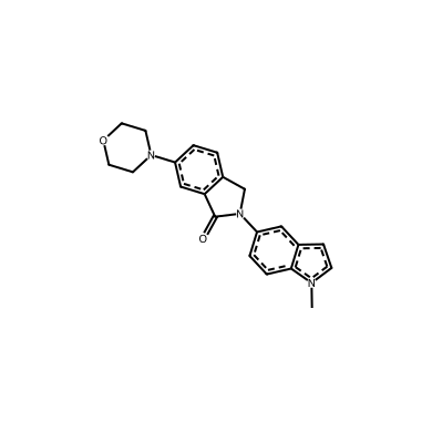 Cn1ccc2cc(N3Cc4ccc(N5CCOCC5)cc4C3=O)ccc21